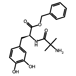 CC(C)(N)C(=O)N[C@@H](Cc1ccc(O)c(O)c1)C(=O)OCc1ccccc1